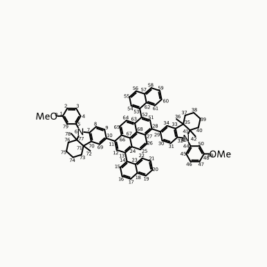 COc1cccc(N2c3ccc(-c4cc(-c5cccc6ccccc56)c5ccc6c(-c7ccc8c(c7)C7(C)CCCCC7(C)N8c7cccc(OC)c7)cc(-c7cccc8ccccc78)c7ccc4c5c67)cc3C3(C)CCCCC23C)c1